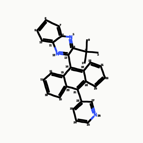 CC(C)(C)c1nc2ccccc2nc1-c1c2ccccc2c(-c2cccnc2)c2ccccc12